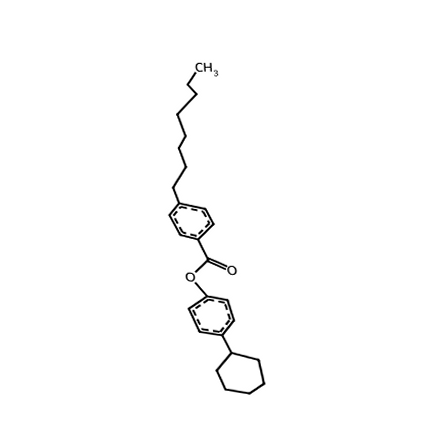 CCCCCCCCc1ccc(C(=O)Oc2ccc(C3CCCCC3)cc2)cc1